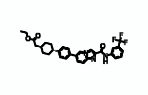 CCOC(=O)C[C@H]1CC[C@H](c2ccc(-c3ccc4nc(C(=O)Nc5cccc(C(F)(F)F)c5)cn4c3)cc2)CC1